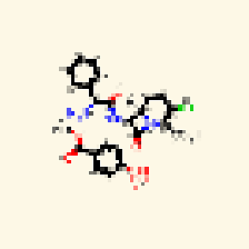 CCCOC(=O)c1ccc(O)cc1.N[C@@H](C(=O)N[C@@H]1C(=O)N2C(C(=O)O)=C(Cl)CC[C@H]12)c1ccccc1.O